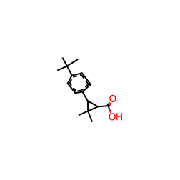 CC(C)(C)c1ccc(C2C(C(=O)O)C2(C)C)cc1